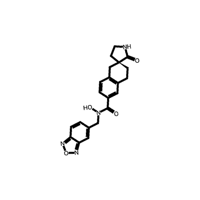 O=C(c1ccc2c(c1)CC[C@]1(CCNC1=O)C2)N(O)Cc1ccc2nonc2c1